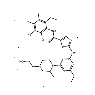 [2H]c1c(C)c(C)c(CC)c(NC(=O)c2cnc(Nc3cc(N4CCN(CCO)CC4C)nc(CC)n3)s2)c1Cl